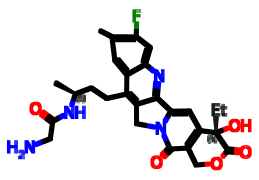 CC[C@@]1(O)C(=O)OCc2c1cc1n(c2=O)Cc2c-1nc1cc(F)c(C)cc1c2CC[C@H](C)NC(=O)CN